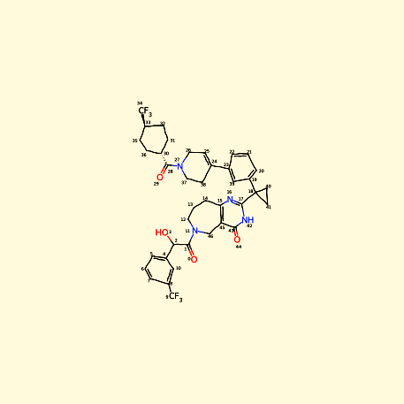 O=C(C(O)c1cccc(C(F)(F)F)c1)N1CCCc2nc(C3(c4cccc(C5=CCN(C(=O)[C@H]6CC[C@H](C(F)(F)F)CC6)CC5)c4)CC3)[nH]c(=O)c2C1